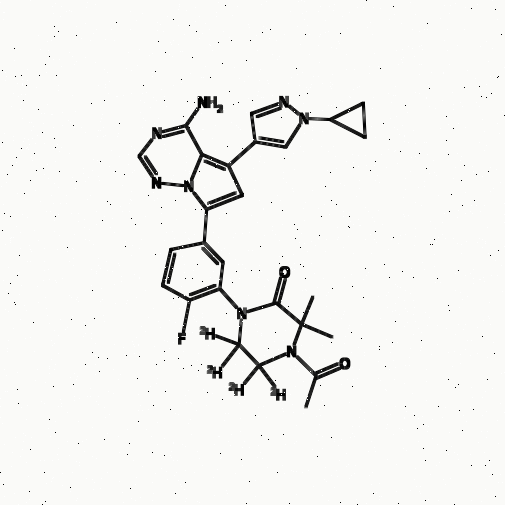 [2H]C1([2H])N(c2cc(-c3cc(-c4cnn(C5CC5)c4)c4c(N)ncnn34)ccc2F)C(=O)C(C)(C)N(C(C)=O)C1([2H])[2H]